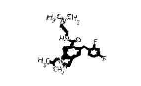 CC(C)Cn1ncc2cc(Cc3ccc(F)cc3F)c(C(=O)NCCN(C)C)cc21